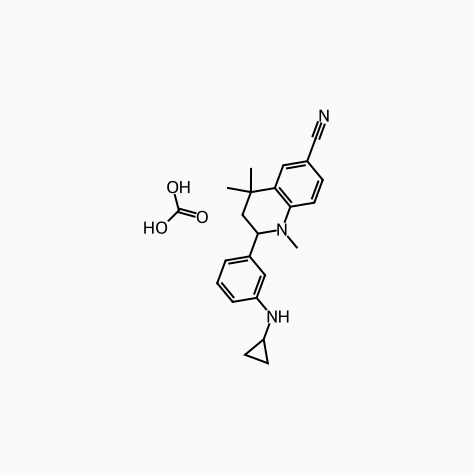 CN1c2ccc(C#N)cc2C(C)(C)CC1c1cccc(NC2CC2)c1.O=C(O)O